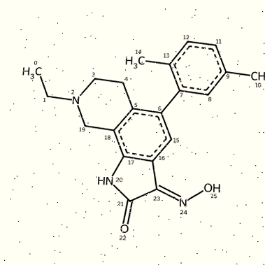 CCN1CCc2c(-c3cc(C)ccc3C)cc3c(c2C1)NC(=O)/C3=N/O